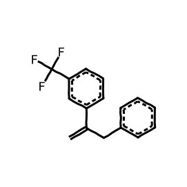 C=C(Cc1ccccc1)c1cccc(C(F)(F)F)c1